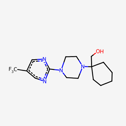 OCC1(N2CCN(c3ncc(C(F)(F)F)cn3)CC2)CCCCC1